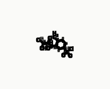 Cc1ccc(S(=O)(=O)Cl)cc1B/C(Cl)=C(/Cl)C=O